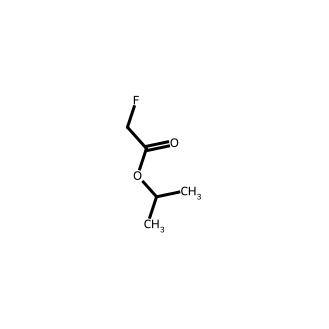 CC(C)OC(=O)CF